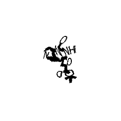 CC(C)(C)OC(=O)CCC12C(=O)NC(=O)N1c1ccncc12